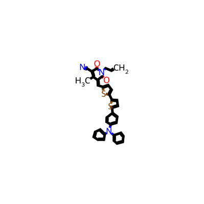 C=CCN1C(=O)C(=Cc2ccc(-c3ccc(-c4ccc(N(c5ccccc5)c5ccccc5)cc4)s3)s2)C(C)=C(C#N)C1=O